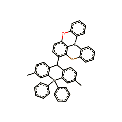 Cc1ccc2c(c1)[Si](c1ccccc1)(c1ccccc1)c1cc(C)ccc1C2c1ccc2c3c1Sc1ccccc1B3c1ccccc1O2